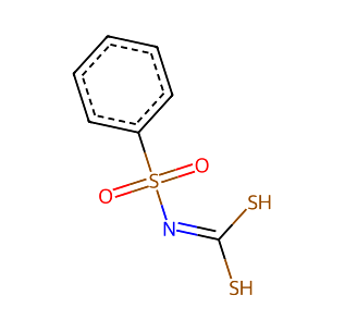 O=S(=O)(N=C(S)S)c1ccccc1